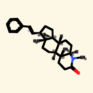 CN1C(=O)CC[C@]2(C)[C@H]3CC[C@]4(C)[C@@H](/C=C/c5ccccc5)CC[C@H]4[C@@H]3CC[C@@H]12